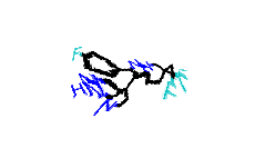 Fc1ccc(-c2nn3c(c2-c2ccnc4[nH]ncc24)CCC2(C3)CC2(F)F)cc1